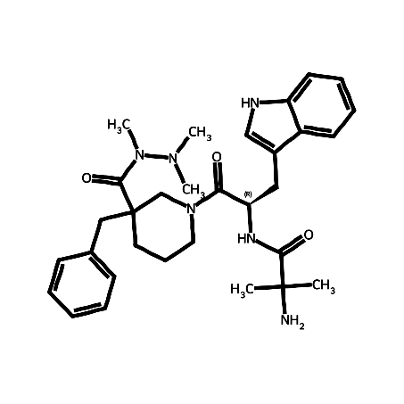 CN(C)N(C)C(=O)C1(Cc2ccccc2)CCCN(C(=O)[C@@H](Cc2c[nH]c3ccccc23)NC(=O)C(C)(C)N)C1